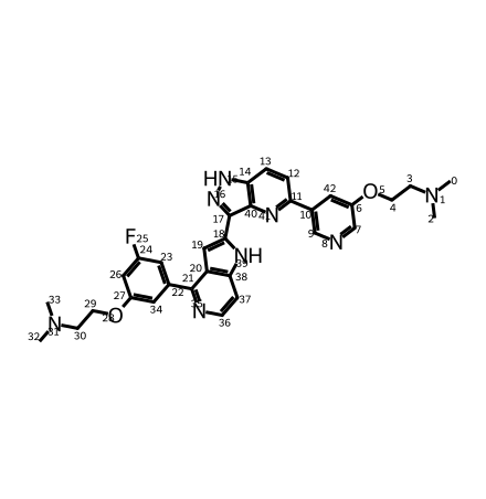 CN(C)CCOc1cncc(-c2ccc3[nH]nc(-c4cc5c(-c6cc(F)cc(OCCN(C)C)c6)nccc5[nH]4)c3n2)c1